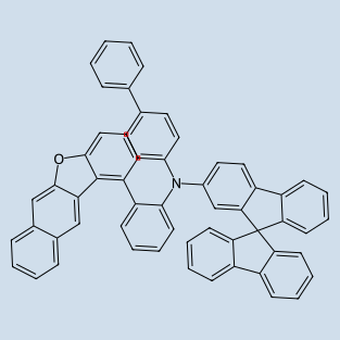 c1ccc(-c2ccc(N(c3ccc4c(c3)C3(c5ccccc5-c5ccccc53)c3ccccc3-4)c3ccccc3-c3cccc4oc5cc6ccccc6cc5c34)cc2)cc1